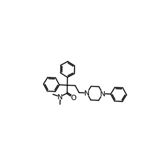 CN(C)C(=O)C(CCN1CCN(c2ccccc2)CC1)(c1ccccc1)c1ccccc1